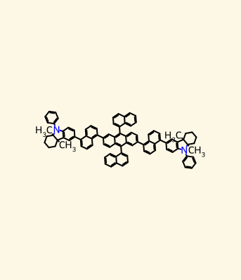 CC12CCCCC1(C)N(c1ccccc1)c1ccc(-c3cccc4c(-c5ccc6c(-c7cccc8ccccc78)c7cc(-c8cccc9c(-c%10ccc%11c(c%10)C%10(C)CCCCC%10(C)N%11c%10ccccc%10)cccc89)ccc7c(-c7cccc8ccccc78)c6c5)cccc34)cc12